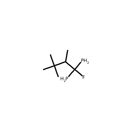 CC(C(C)(C)C)C(F)(P)P